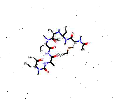 CCCC(=O)N(C)[C@H](CSCC(=O)O)C(=O)N(C)[C@](C=O)(CC(C)C)N[C@@H](C(=O)N(C)[C@@H](CC(C)C)C(=O)NC(=O)C(C)NC(=O)N(C)[C@H](CC(C)C)C(=O)NC)C(C)C